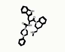 CNC[C@@H]1Cc2ccccc2N(C(=O)C(Cc2c[nH]c3ccccc23)NC(=O)N2CCN(c3ccccc3)CC2)C1